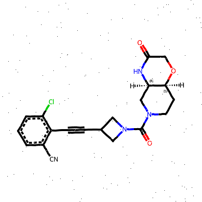 N#Cc1cccc(Cl)c1C#CC1CN(C(=O)N2CC[C@@H]3OCC(=O)N[C@@H]3C2)C1